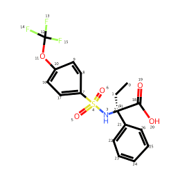 CC[C@](NS(=O)(=O)c1ccc(OC(F)(F)F)cc1)(C(=O)O)c1ccccc1